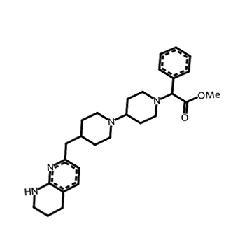 COC(=O)C(c1ccccc1)N1CCC(N2CCC(Cc3ccc4c(n3)NCCC4)CC2)CC1